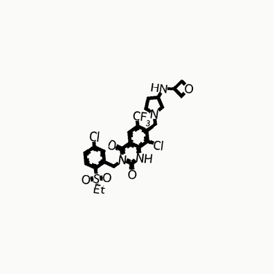 CCS(=O)(=O)c1ccc(Cl)cc1Cn1c(=O)[nH]c2c(Cl)c(CN3CCC(NC4COC4)C3)c(C(F)(F)F)cc2c1=O